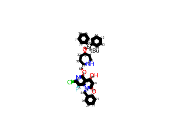 CC(C)(C)[Si](OC1CCN[C@H](COc2nc(Cl)c(F)c3c2c(O)cc(=O)n3Cc2ccccc2)CC1)(c1ccccc1)c1ccccc1